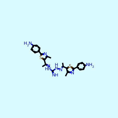 C/C(=N\NC(=N)N/N=C(\C)c1sc(-c2ccc(N)cc2)nc1C)c1sc(-c2ccc(N)cc2)nc1C